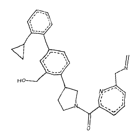 C=NCc1cccc(C(=O)N2CCC(c3ccc(-c4ccccc4C4CC4)cc3CO)C2)n1